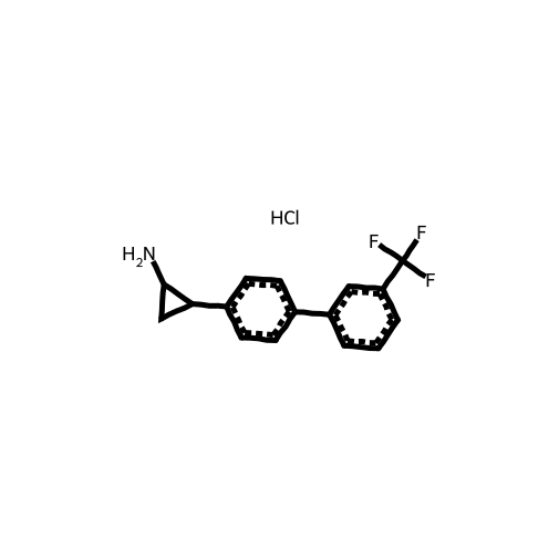 Cl.NC1CC1c1ccc(-c2cccc(C(F)(F)F)c2)cc1